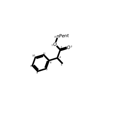 CCCCCOC(=O)C(C)c1ccccc1